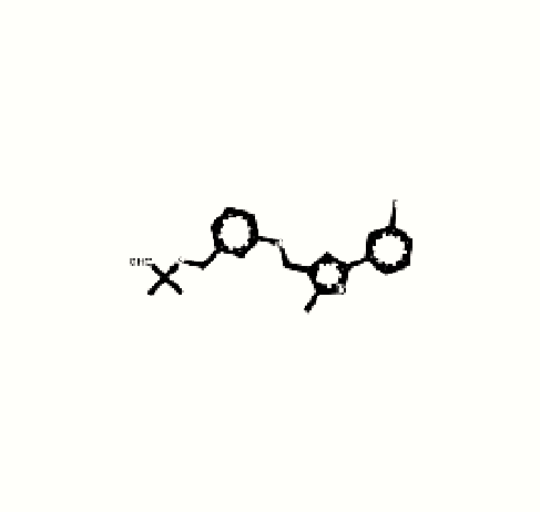 Cc1oc(-c2cccc(F)c2)cc1COc1cccc(CSC(C)(C)C=O)c1